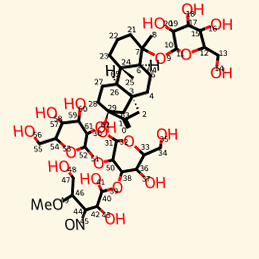 C=C1C[C@@]23CC[C@@H]4C(C)(OC5OC(CO)C(O)C(O)C5O)CCC[C@@]4(C)[C@@H]2CC[C@]1(OC1OC(CO)C(O)C(OC(O)C(O)C(N=O)C(CO)OC)C1OC1OC(CO)C(O)C(O)C1O)C3